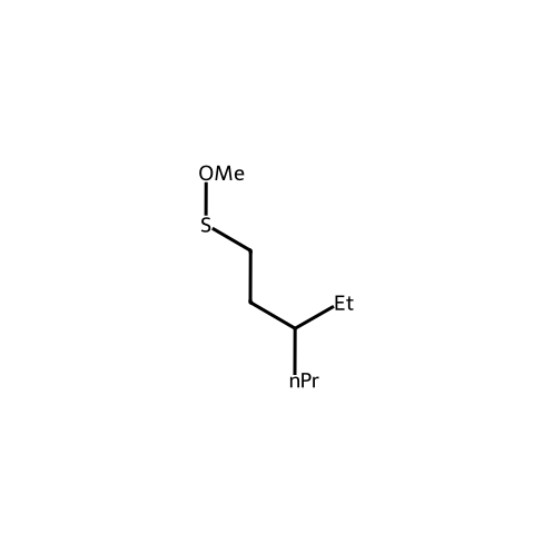 CCCC(CC)CCSOC